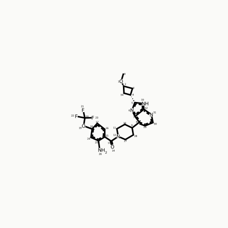 CO[C@H]1C[C@H](c2nc3c(C4CCN(C(=O)c5ccc(OC(F)(F)F)cc5N)CC4)ccnc3[nH]2)C1